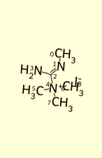 C/N=C(\N)[N+](C)(C)C.[I-]